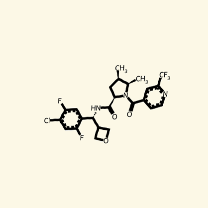 C[C@@H]1C[C@H](C(=O)N[C@@H](c2cc(F)c(Cl)cc2F)C2COC2)N(C(=O)c2ccnc(C(F)(F)F)c2)[C@@H]1C